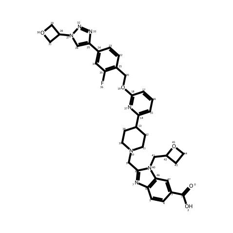 O=C(O)c1ccc2nc(CN3CCC(c4cccc(OCc5ccc(-c6cn(C7COC7)nn6)cc5F)n4)CC3)n(CC3CCO3)c2c1